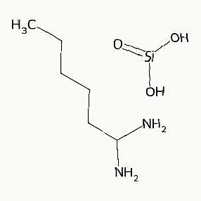 CCCCCC(N)N.O=[Si](O)O